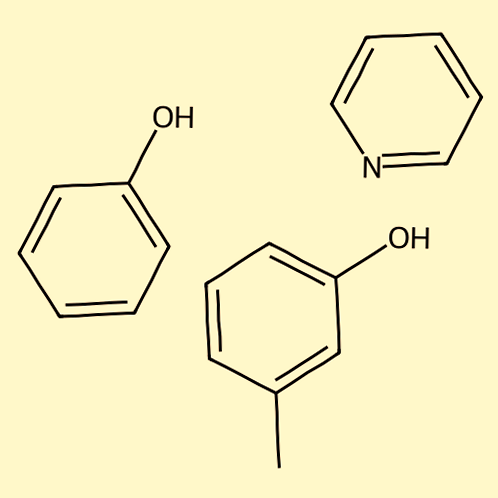 Cc1cccc(O)c1.Oc1ccccc1.c1ccncc1